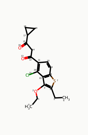 CCOc1c(CC)sc2ccc(C(=O)CC(=O)C3CC3)c(Cl)c12